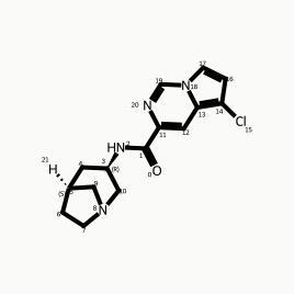 O=C(N[C@@H]1C[C@@H]2CCN(C2)C1)c1cc2c(Cl)ccn2cn1